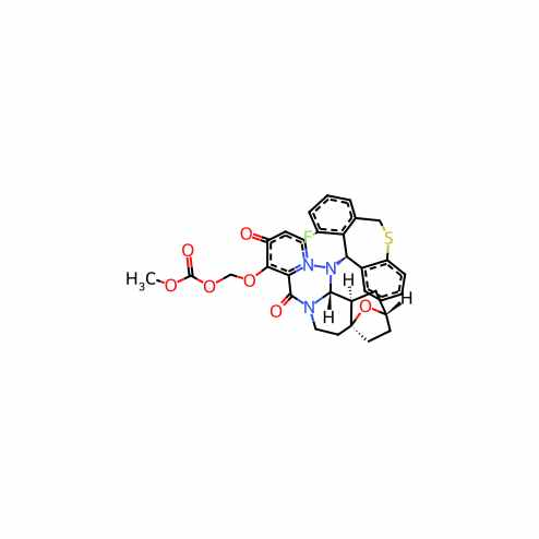 COC(=O)OCOc1c2n(ccc1=O)N([C@@H]1c3ccccc3SCc3cccc(F)c31)[C@@H]1[C@H]3C[C@@H]4CC[C@@]3(CCN1C2=O)O4